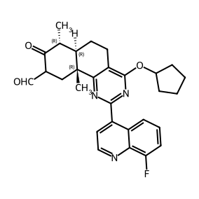 C[C@H]1C(=O)C(C=O)C[C@@]2(C)c3nc(-c4ccnc5c(F)cccc45)nc(OC4CCCC4)c3CC[C@H]12